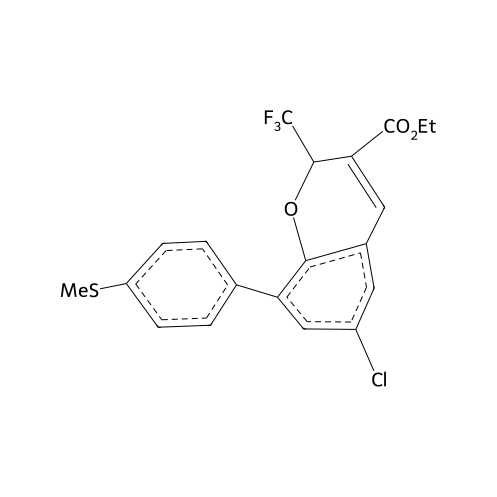 CCOC(=O)C1=Cc2cc(Cl)cc(-c3ccc(SC)cc3)c2OC1C(F)(F)F